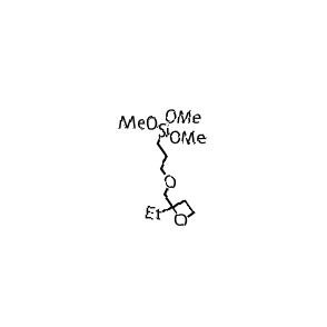 CCC1(COCCC[Si](OC)(OC)OC)CCO1